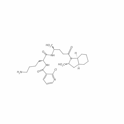 NCCCC[C@H](NC(=O)c1cccnc1Cl)C(=O)N[C@H](CCC(=O)N1[C@H](C(=O)O)C[C@@H]2CCCC[C@@H]21)C(=O)O